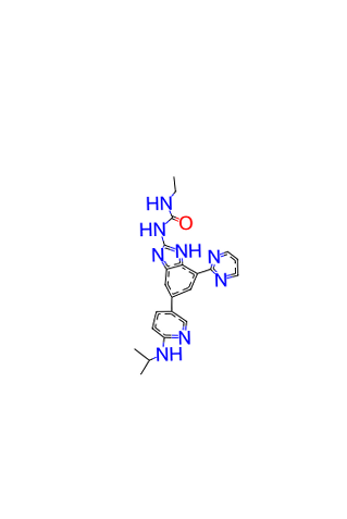 CCNC(=O)Nc1nc2cc(-c3ccc(NC(C)C)nc3)cc(-c3ncccn3)c2[nH]1